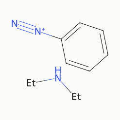 CCNCC.N#[N+]c1ccccc1